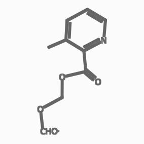 Cc1cccnc1C(=O)OCO[C]=O